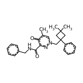 Cc1cn(CC2(c3ccccc3)CC(C)(C)C2)nc(C(=O)NCc2ccccc2)c1=O